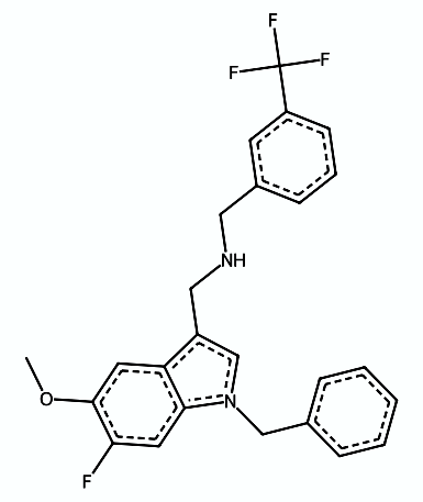 COc1cc2c(CNCc3cccc(C(F)(F)F)c3)cn(Cc3ccccc3)c2cc1F